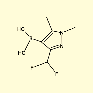 Cc1c(B(O)O)c(C(F)F)nn1C